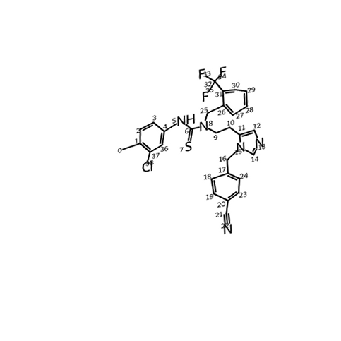 Cc1ccc(NC(=S)N(CCc2cncn2Cc2ccc(C#N)cc2)Cc2ccccc2C(F)(F)F)cc1Cl